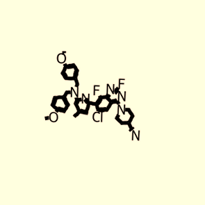 COc1ccc(CN(Cc2ccc(OC)cc2)c2cc(C)cc(-c3c(Cl)cc4c(N5CCC(C#N)CC5)nc(F)nc4c3F)n2)cc1